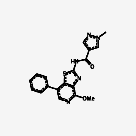 COc1ncc(-c2ccccc2)c2sc(NC(=O)c3cnn(C)c3)nc12